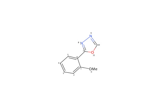 COc1ccccc1-c1nnco1